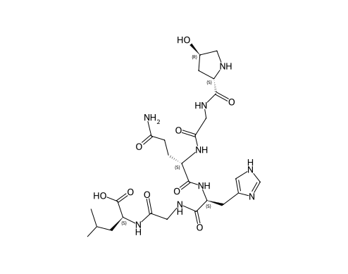 CC(C)C[C@H](NC(=O)CNC(=O)[C@H](Cc1c[nH]cn1)NC(=O)[C@H](CCC(N)=O)NC(=O)CNC(=O)[C@@H]1C[C@@H](O)CN1)C(=O)O